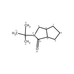 CC(C)(C)N1CC2CCCC2C1=O